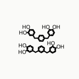 Oc1ccc(Cc2ccc(Cc3ccc(O)c(O)c3)cc2)cc1O.Oc1ccc(Cc2cccc(Cc3ccc(O)c(O)c3)c2)cc1O